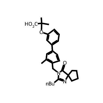 CCCCC1=NC2(CCCC2)C(=O)N1Cc1ccc(-c2cccc(OC(C)(C)C(=O)O)c2)cc1C